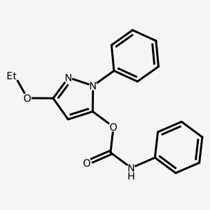 CCOc1cc(OC(=O)Nc2ccccc2)n(-c2ccccc2)n1